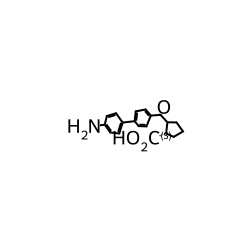 Nc1ccc(-c2ccc(C(=O)C3CCC[C@@H]3C(=O)O)cc2)cc1